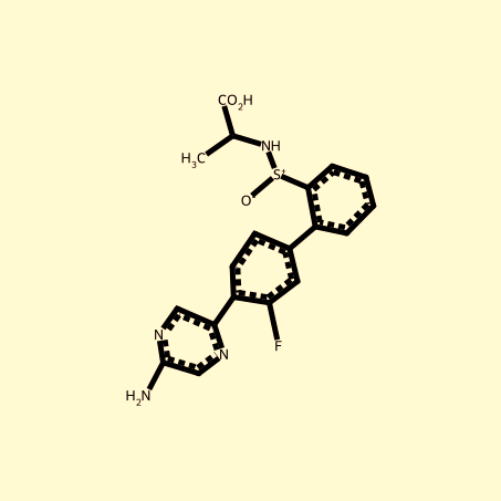 CC(N[S+]([O-])c1ccccc1-c1ccc(-c2cnc(N)cn2)c(F)c1)C(=O)O